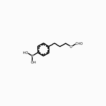 O=COCCCc1ccc(B(O)O)cc1